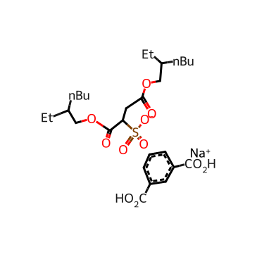 CCCCC(CC)COC(=O)CC(C(=O)OCC(CC)CCCC)S(=O)(=O)[O-].O=C(O)c1cccc(C(=O)O)c1.[Na+]